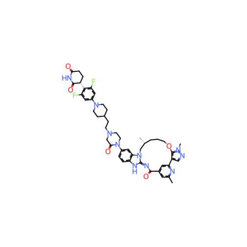 Cc1cc2cc(n1)-c1cnn(C)c1OCCC[C@@H](C)CN1/C(=N/C2=O)Nc2ccc(N3CCN(CCC4CCN(c5cc(F)c([C@H]6CCC(=O)NC6=O)c(F)c5)CC4)CC3=O)cc21